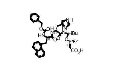 CCC(C)[C@@H](NC(=O)[C@@H](Cc1c[nH]cn1)NC(=O)[C@@H](Cc1cccc2ccccc12)NC(=O)OCc1ccccc1)O/[P+]([O-])=C/C(=O)O